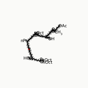 CCCCCCCCC(CCCCCCCC)OC(=O)CCCCCCCN(CCO)CCCCCCCSSCCCCCC(CCC)CCCCCCCCC(CCCCCCCC)OC(=O)CCCCCCCN(CCO)CCCCCCCC(=O)OC(C)CCCCCOC(C)=O